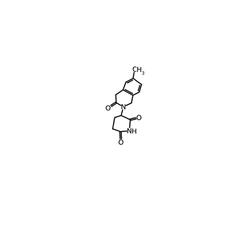 Cc1ccc2c(c1)CC(=O)N(C1CCC(=O)NC1=O)C2